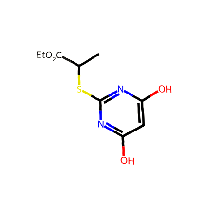 CCOC(=O)C(C)Sc1nc(O)cc(O)n1